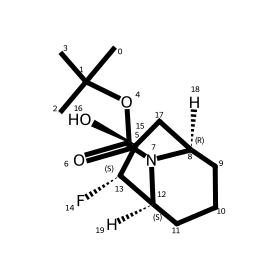 CC(C)(C)OC(=O)N1[C@@H]2CCC[C@H]1[C@H](F)[C@@H](O)C2